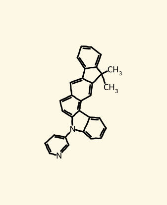 CC1(C)c2ccccc2-c2cc3ccc4c(c3cc21)c1ccccc1n4-c1cccnc1